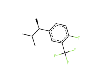 CC(C)[C@@H](C)c1ccc(F)c(C(F)(F)F)c1